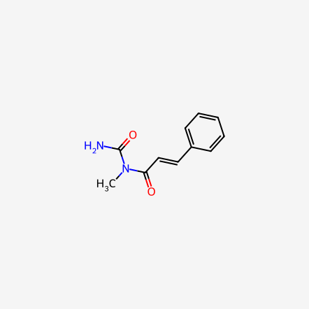 CN(C(N)=O)C(=O)/C=C/c1ccccc1